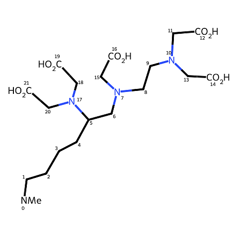 CNCCCCC(CN(CCN(CC(=O)O)CC(=O)O)CC(=O)O)N(CC(=O)O)CC(=O)O